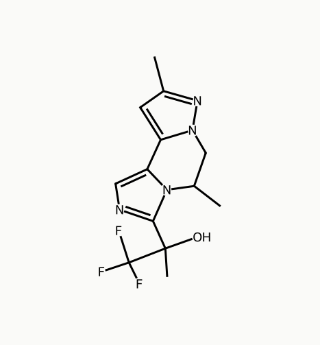 Cc1cc2n(n1)CC(C)n1c-2cnc1C(C)(O)C(F)(F)F